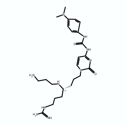 CN(C)c1ccc(NC(=O)Nc2ccn(CCC[C@H](CCCNC(=N)N)NCCCN)c(=O)n2)cc1